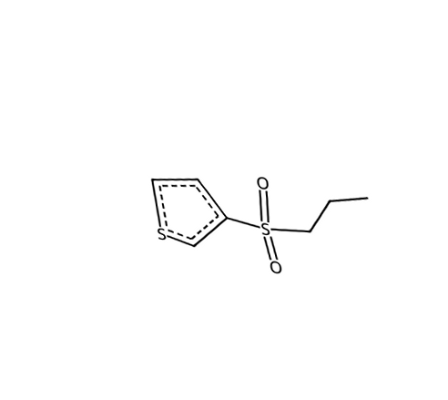 CCCS(=O)(=O)c1ccsc1